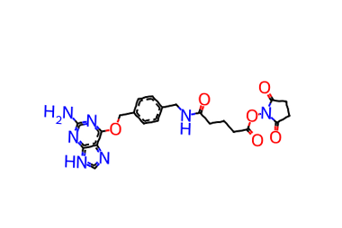 Nc1nc(OCc2ccc(CNC(=O)CCCC(=O)ON3C(=O)CCC3=O)cc2)c2nc[nH]c2n1